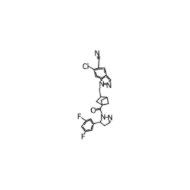 N#Cc1cc2cnn(CC3CC4(C(=O)N5N=CCC5c5cc(F)cc(F)c5)CC3C4)c2cc1Cl